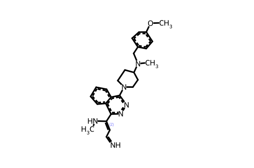 CN/C(=C\C=N)c1nnc(N2CCC(N(C)Cc3ccc(OC)cc3)CC2)c2ccccc12